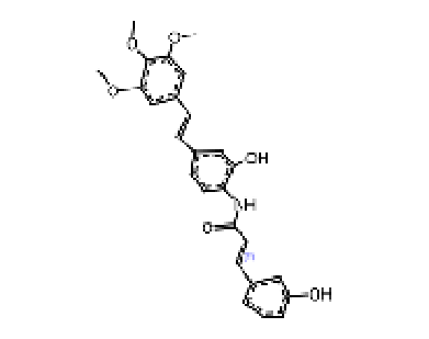 COc1cc(C=Cc2ccc(NC(=O)/C=C/c3cccc(O)c3)c(O)c2)cc(OC)c1OC